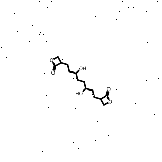 O=C1OCC1CCC(O)CCC(O)CCC1COC1=O